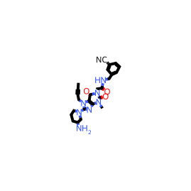 CC#CCn1c(N2CCCC(N)C2)nc2c1c(=O)n(CC(=O)NCc1cccc(C#N)c1)c(=O)n2C